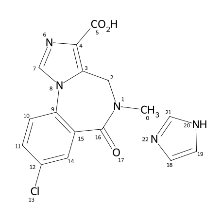 CN1Cc2c(C(=O)O)ncn2-c2ccc(Cl)cc2C1=O.c1c[nH]cn1